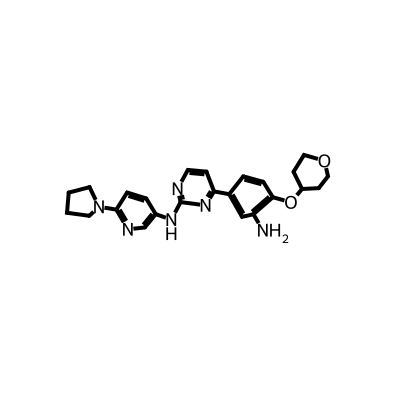 Nc1cc(-c2ccnc(Nc3ccc(N4CCCC4)nc3)n2)ccc1OC1CCOCC1